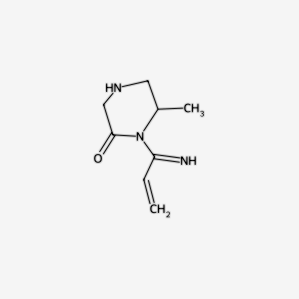 C=CC(=N)N1C(=O)CNCC1C